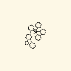 c1ccc([Si]2(c3ccccc3)c3ccccc3-c3ccc4oc5ccccc5c4c3-c3ccccc32)cc1